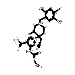 COC(=O)Nc1nn(C2(CC#N)CCN(Cc3cc(O)c(Br)cc3Cl)CC2F)cc1C(N)=O